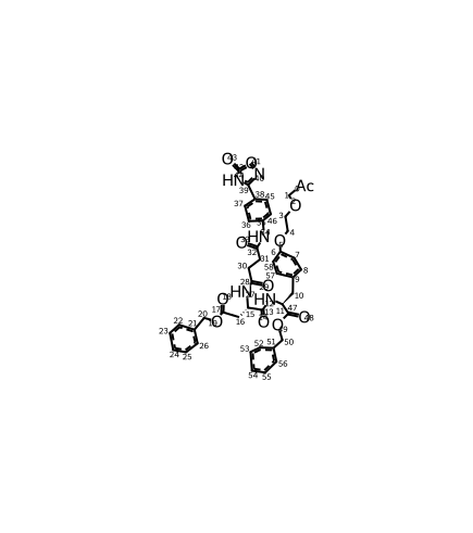 CC(=O)COCCOc1ccc(C[C@H](NC(=O)[C@H](CC(=O)OCc2ccccc2)NC(=O)CCC(=O)Nc2ccc(-c3noc(=O)[nH]3)cc2)C(=O)OCc2ccccc2)cc1